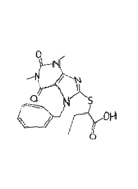 CCC(Sc1nc2c(c(=O)n(C)c(=O)n2C)n1Cc1ccccc1)C(=O)O